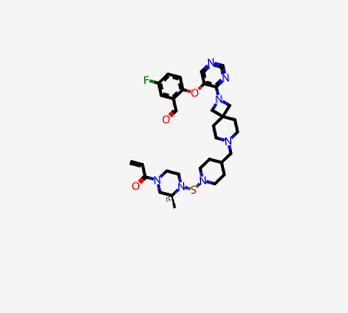 C=CC(=O)N1CCN(SN2CCC(CN3CCC4(CC3)CN(c3ncncc3Oc3ccc(F)cc3C=O)C4)CC2)[C@@H](C)C1